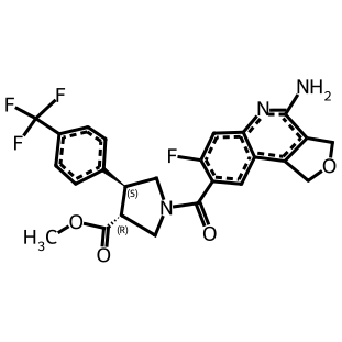 COC(=O)[C@H]1CN(C(=O)c2cc3c4c(c(N)nc3cc2F)COC4)C[C@@H]1c1ccc(C(F)(F)F)cc1